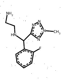 Cn1nnc(C(NCCN)c2ccccc2F)n1